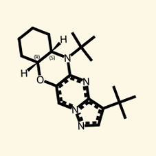 CC(C)(C)c1cnn2cc3c(nc12)N(C(C)(C)C)[C@H]1CCCC[C@H]1O3